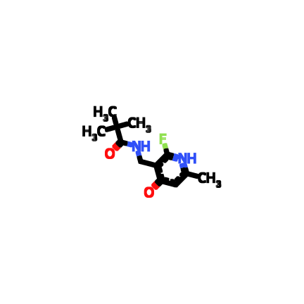 Cc1cc(=O)c(CNC(=O)C(C)(C)C)c(F)[nH]1